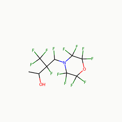 CC(O)C(F)(C(F)N1C(F)(F)C(F)(F)OC(F)(F)C1(F)F)C(F)(F)F